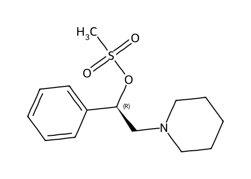 CS(=O)(=O)O[C@@H](CN1CCCCC1)c1ccccc1